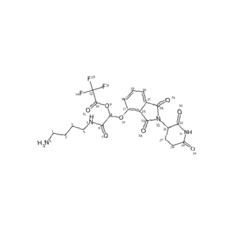 NCCCCNC(=O)C(OC(=O)C(F)(F)F)Oc1cccc2c1C(=O)N(C1CCC(=O)NC1=O)C2=O